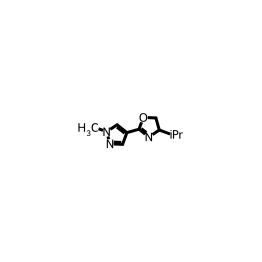 CC(C)C1COC(c2cnn(C)c2)=N1